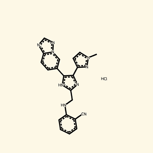 Cl.Cn1ccc(-c2nc(CNc3ccccc3C#N)[nH]c2-c2ccc3ncnn3c2)n1